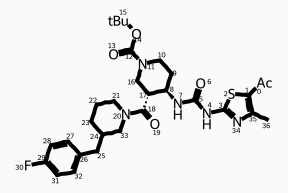 CC(=O)c1sc(NC(=O)N[C@@H]2CCN(C(=O)OC(C)(C)C)C[C@H]2C(=O)N2CCCC(Cc3ccc(F)cc3)C2)nc1C